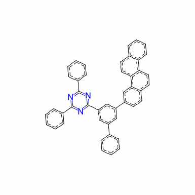 c1ccc(-c2cc(-c3ccc4ccc5c6ccccc6ccc5c4c3)cc(-c3nc(-c4ccccc4)nc(-c4ccccc4)n3)c2)cc1